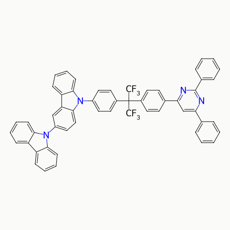 FC(F)(F)C(c1ccc(-c2cc(-c3ccccc3)nc(-c3ccccc3)n2)cc1)(c1ccc(-n2c3ccccc3c3cc(-n4c5ccccc5c5ccccc54)ccc32)cc1)C(F)(F)F